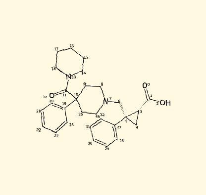 O=C(O)[C@@H]1C[C@@]1(CN1CCC(C(=O)N2CCCCC2)(c2ccccc2)CC1)c1ccccc1